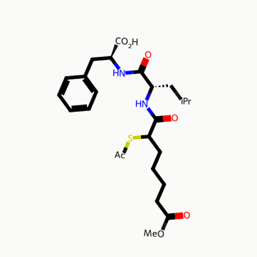 COC(=O)CCCCC(SC(C)=O)C(=O)N[C@@H](CC(C)C)C(=O)N[C@@H](Cc1ccccc1)C(=O)O